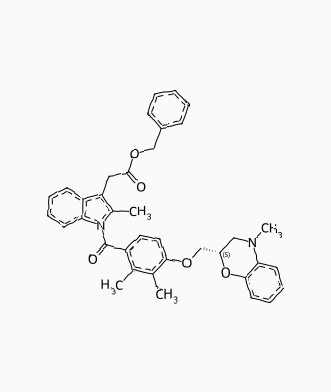 Cc1c(OC[C@@H]2CN(C)c3ccccc3O2)ccc(C(=O)n2c(C)c(CC(=O)OCc3ccccc3)c3ccccc32)c1C